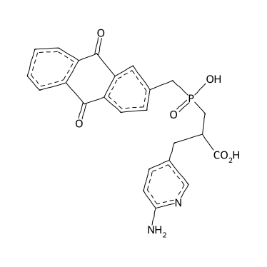 Nc1ccc(CC(CP(=O)(O)Cc2ccc3c(c2)C(=O)c2ccccc2C3=O)C(=O)O)cn1